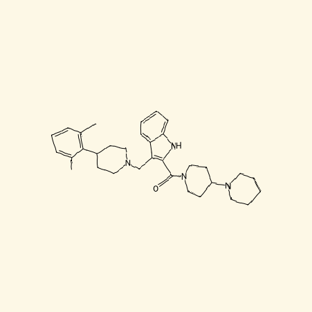 Cc1cccc(C)c1C1CCN(Cc2c(C(=O)N3CCC(N4CCCCC4)CC3)[nH]c3ccccc23)CC1